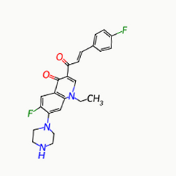 CCn1cc(C(=O)C=Cc2ccc(F)cc2)c(=O)c2cc(F)c(N3CCNCC3)cc21